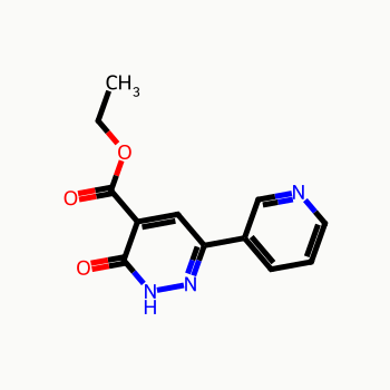 CCOC(=O)c1cc(-c2cccnc2)n[nH]c1=O